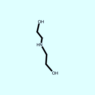 OC[CH]NCCO